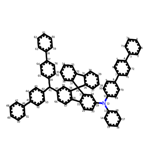 c1ccc(-c2ccc(-c3ccc(N(c4ccccc4)c4ccc5c(c4)C4(c6ccccc6-c6ccccc64)c4cc(C(c6ccc(-c7ccccc7)cc6)c6ccc(-c7ccccc7)cc6)ccc4-5)cc3)cc2)cc1